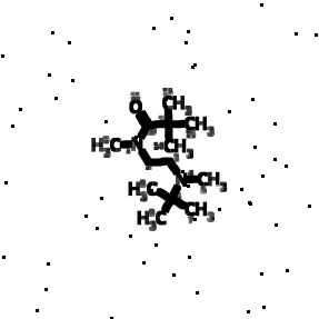 CN(CCN(C)C(C)(C)C)C(=O)C(C)(C)C